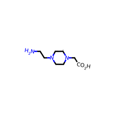 NCCN1C[CH]N(CC(=O)O)CC1